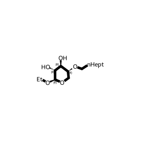 CCCCCCCCO[C@@H]1CO[C@@H](OCC)[C@H](O)[C@H]1O